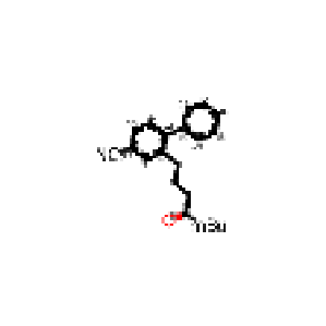 CCCCC(=O)CCCc1cc(C#N)ccc1-c1ccccc1